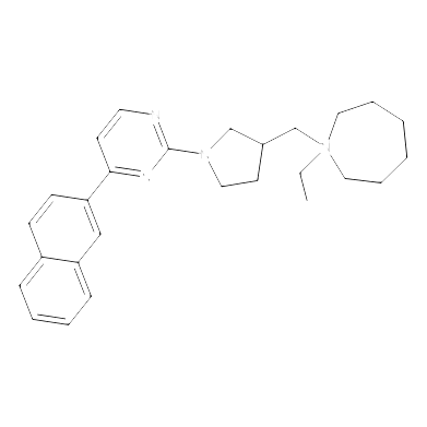 OC[N+]1(CC2CCN(c3nccc(-c4ccc5ccccc5c4)n3)C2)CCCCCC1